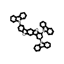 c1ccc2c(c1)c1ccccc1n2-c1ccc2oc3cc4c(cc3c2c1)oc1c(-n2c3ccccc3c3ccccc32)cc(-n2c3ccccc3c3ccccc32)cc14